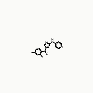 Cc1ccc(C(=O)c2cnc(Nc3ccncc3)s2)c(C)c1